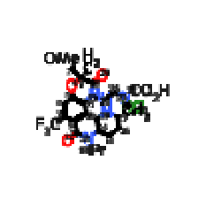 COC[C@]1(C)Oc2cc(C(F)(F)F)c(C(=O)N(C(C)C)[C@@H]3CCCNC3)cc2N(CCN(C)C(=O)O)C1=O.Cl